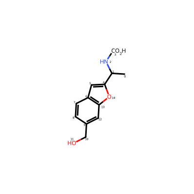 CC(NC(=O)O)c1cc2ccc(CO)cc2o1